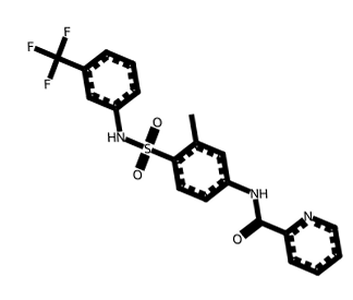 Cc1cc(NC(=O)c2ccccn2)ccc1S(=O)(=O)Nc1cccc(C(F)(F)F)c1